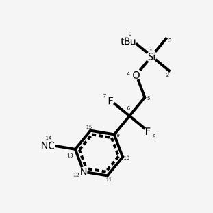 CC(C)(C)[Si](C)(C)OCC(F)(F)c1ccnc(C#N)c1